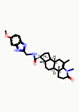 COc1ccc2nc(CNC(=O)[C@H]3CC[C@H]4[C@@H]5CC(C)=C6N(C)C(=O)CC[C@]6(C)[C@H]5CC[C@]34C)[nH]c2c1